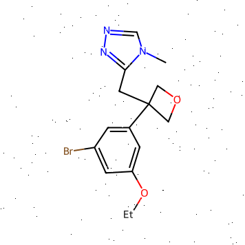 CCOc1cc(Br)cc(C2(Cc3nncn3C)COC2)c1